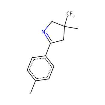 Cc1ccc(C2=NCC(C)(C(F)(F)F)C2)cc1